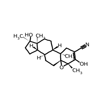 C[C@@]12O[C@@]13CC[C@H]1[C@@H]4CC[C@@](C)(O)[C@@]4(C)CC[C@@H]1[C@@]3(C)CC(C#N)=C2O